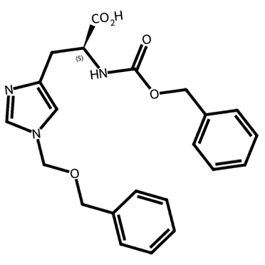 O=C(N[C@@H](Cc1cn(COCc2ccccc2)cn1)C(=O)O)OCc1ccccc1